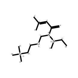 C=C(C=C(C)C)N(COCC[Si](C)(C)C)N(C)CC